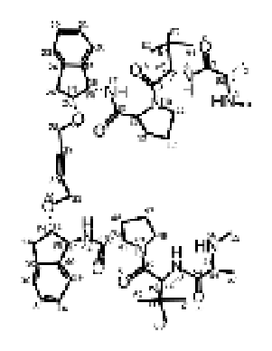 CN[C@@H](C)C(=O)N[C@H](C(=O)N1CCCC1C(=O)N[C@H]1c2ccccc2C[C@H]1OCC#CCO[C@H]1Cc2ccccc2[C@@H]1NC(=O)[C@@H]1CCCN1C(=O)[C@@H](NC(=O)[C@H](C)NC)C(C)(C)C)C(C)(C)C